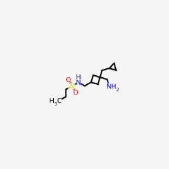 CCCS(=O)(=O)NCC1CC(CN)(CC2CC2)C1